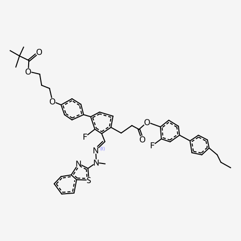 CCCc1ccc(-c2ccc(OC(=O)CCc3ccc(-c4ccc(OCCCOC(=O)C(C)(C)C)cc4)c(F)c3/C=N/N(C)c3nc4ccccc4s3)c(F)c2)cc1